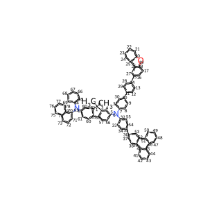 CC1(C)c2cc(N(c3ccc(-c4ccc(-c5ccc6oc7ccccc7c6c5)cc4)cc3)c3ccc(-c4ccc5c6ccccc6c6ccccc6c5c4)cc3)ccc2-c2ccc(N(c3ccccc3)c3cccc4ccccc34)cc21